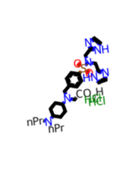 CCCN(CCC)C1CCC(N(CC(=O)O)Cc2ccc(S(=O)(=O)N(Cc3ncc[nH]3)Cc3ncc[nH]3)cc2)CC1.Cl.Cl